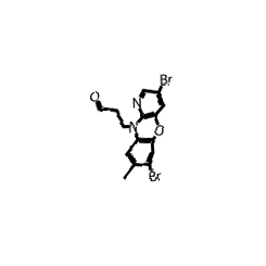 Cc1cc2c(cc1Br)Oc1cc(Br)cnc1N2CCC=O